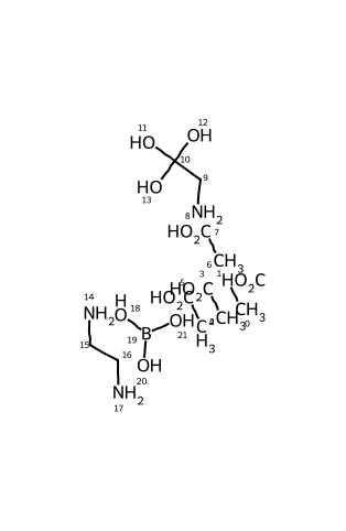 CC(=O)O.CC(=O)O.CC(=O)O.CC(=O)O.NCC(O)(O)O.NCCN.OB(O)O